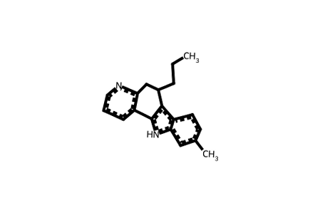 CCCC1Cc2ncccc2-c2[nH]c3cc(C)ccc3c21